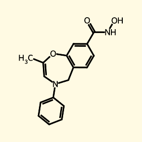 CC1=CN(c2ccccc2)Cc2ccc(C(=O)NO)cc2O1